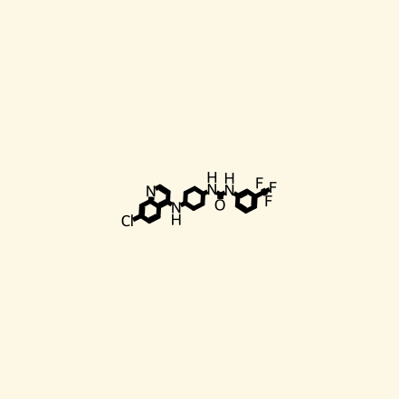 O=C(Nc1cccc(C(F)(F)F)c1)NC1CCC(Nc2ccnc3cc(Cl)ccc23)CC1